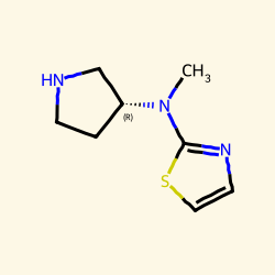 CN(c1nccs1)[C@@H]1CCNC1